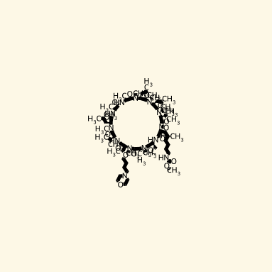 CC[C@@H]1NC(=O)[C@@H]2[C@@H]([C@H](C)CCCCNC(=O)OC)ON2C(=O)[C@H](C(C)C)N(C)C(=O)[C@H](CC(C)C)N(C)C(=O)[C@H](CC(C)C)N(C)C(=O)[C@@H](C)NC(=O)[C@H](C)NC(=O)[C@H](CC(C)C)N(C)C(=O)[C@H](C(C)C)NC(=O)[C@H]([C@@H](C)OCCCCN2CCOCC2)N(C)C(=O)[C@@H](C)N(C)C1=O